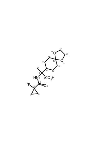 CC(NC(=O)C1(F)CC1)(C(=O)O)C1CCC2(CC1)OCCO2